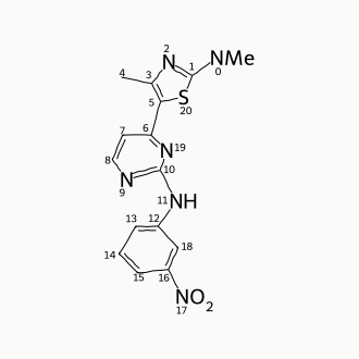 CNc1nc(C)c(-c2ccnc(Nc3cccc([N+](=O)[O-])c3)n2)s1